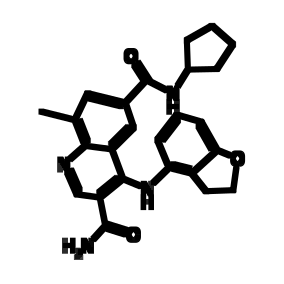 Cc1cc(C(=O)NC2CCCC2)cc2c(Nc3cccc4c3CCO4)c(C(N)=O)cnc12